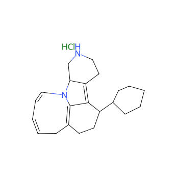 C1=C\CC2=C3C(=C4CCNCC4N3\C=C/1)C(C1CCCCC1)CC2.Cl